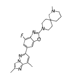 Cc1cn2nc(-c3cc(F)c4nc(N5CCC6(CCCN(C)C6)CC5)oc4c3)cc(C)c2n1